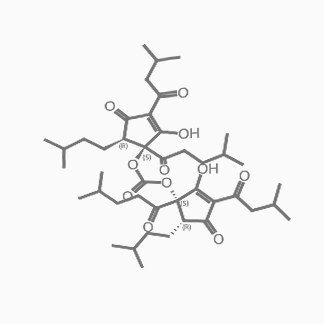 CC(C)CCC(=O)[C@@]1(OC(=O)O[C@]2(C(=O)CCC(C)C)C(O)=C(C(=O)CC(C)C)C(=O)[C@@H]2CCC(C)C)C(O)=C(C(=O)CC(C)C)C(=O)[C@@H]1CCC(C)C